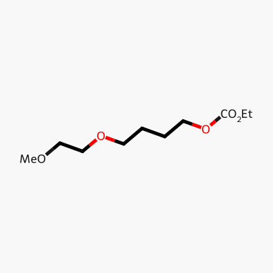 CCOC(=O)OCCCCOCCOC